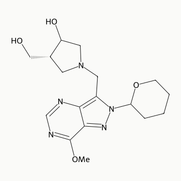 COc1ncnc2c(CN3CC(O)[C@@H](CO)C3)n(C3CCCCO3)nc12